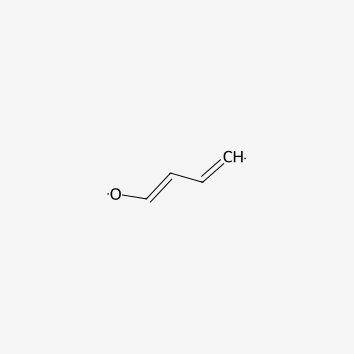 [CH]=CC=C[O]